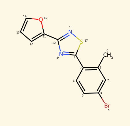 Cc1cc(Br)ccc1-c1nc(-c2ccco2)ns1